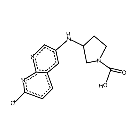 O=C(O)N1CCC(Nc2cnc3nc(Cl)ccc3c2)C1